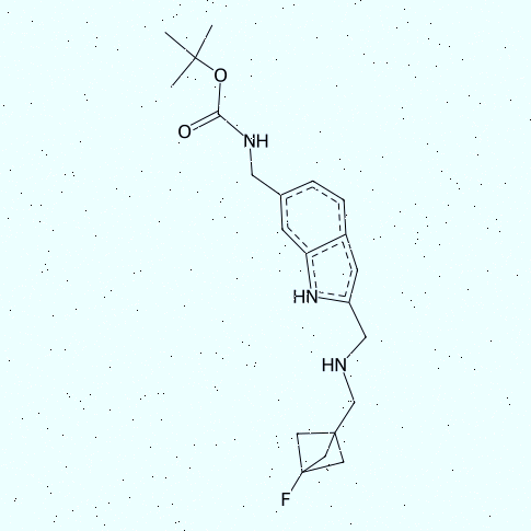 CC(C)(C)OC(=O)NCc1ccc2cc(CNCC34CC(F)(C3)C4)[nH]c2c1